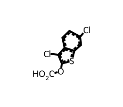 O=C(O)Oc1sc2cc(Cl)ccc2c1Cl